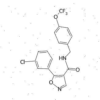 O=C(NCc1ccc(OC(F)(F)F)cc1)c1cnoc1-c1cccc(Cl)c1